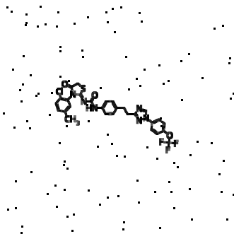 Cc1ccc(Cl)c(N2C(=O)CSC2=NC(=O)Nc2ccc(CCc3ncn(-c4ccc(OC(F)(F)F)cc4)n3)cc2)c1